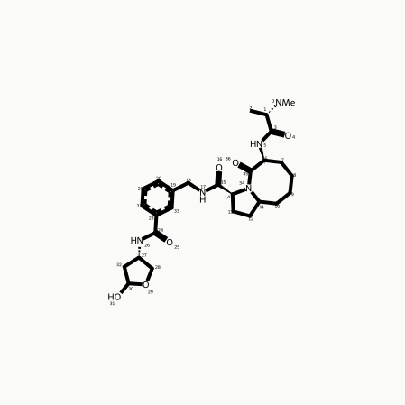 CN[C@@H](C)C(=O)N[C@H]1CCCCC2CC[C@@H](C(=O)NCc3cccc(C(=O)N[C@@H]4COC(O)C4)c3)N2C1=O